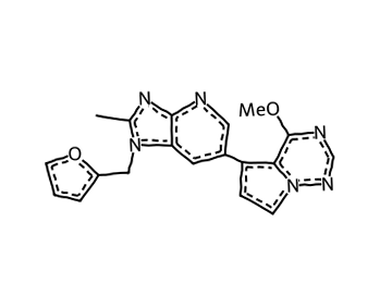 COc1ncnn2ccc(-c3cnc4nc(C)n(Cc5ccco5)c4c3)c12